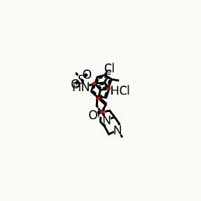 Cc1cc(C=CC(=O)N2C3CN(C)CC2CN(Cc2ccc(F)cc2)C3)c(NS(C)(=O)=O)cc1Cl.Cl